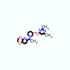 Cc1cc(OC[C@H]2CCCN([C@H](C)c3ccc4c(n3)OCCO4)C2)nc(C)n1